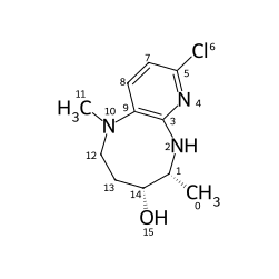 C[C@H]1Nc2nc(Cl)ccc2N(C)CC[C@H]1O